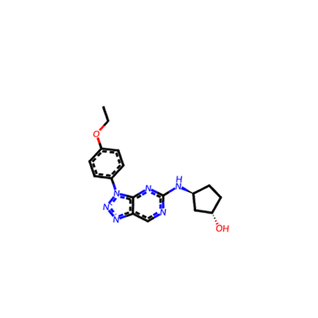 CCOc1ccc(-n2nnc3cnc(N[C@H]4CC[C@H](O)C4)nc32)cc1